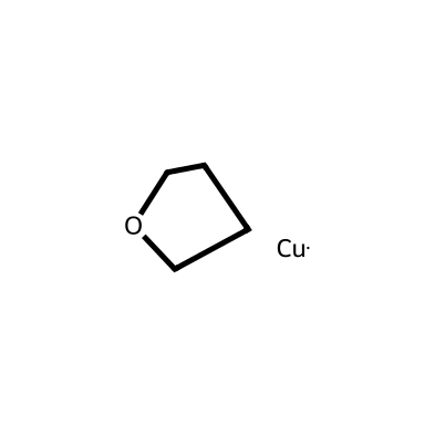 C1CCOC1.[Cu]